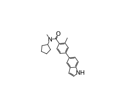 Cc1cc(-c2ccc3[nH]ccc3c2)ccc1C(=O)N(C)C1CCCC1